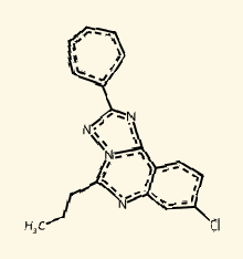 CCCc1nc2cc(Cl)ccc2c2nc(-c3ccccc3)nn12